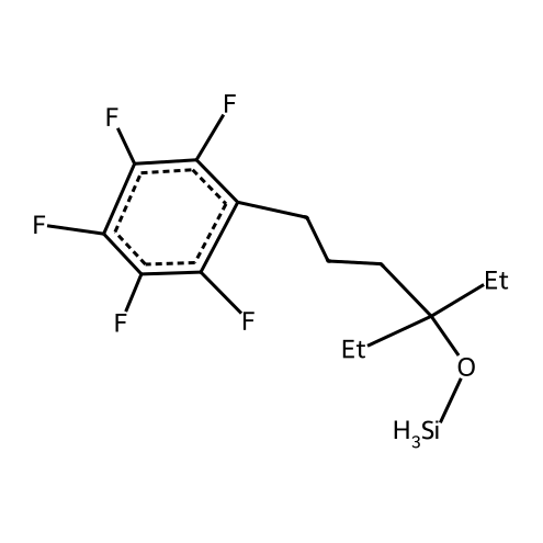 CCC(CC)(CCCc1c(F)c(F)c(F)c(F)c1F)O[SiH3]